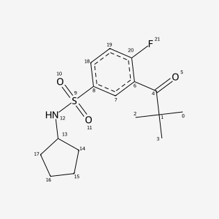 CC(C)(C)C(=O)c1cc(S(=O)(=O)NC2CCCC2)ccc1F